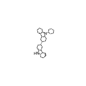 c1ccc2[nH]c3ccc(-c4ccc5c(c4)c4ccccc4n5-c4ccccc4)cc3c2c#1